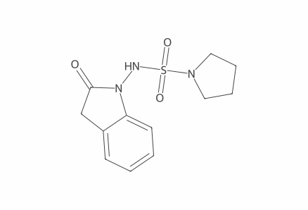 O=C1Cc2ccccc2N1NS(=O)(=O)N1CCCC1